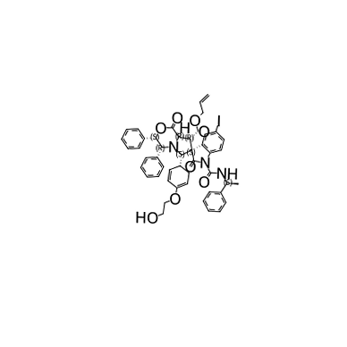 C=CCOC(=O)[C@H]1[C@@H]2C(=O)O[C@@H](c3ccccc3)[C@@H](c3ccccc3)N2[C@@H](C2C=CC(OCCO)=CC2)[C@]12C(=O)N(C(=O)N[C@@H](C)c1ccccc1)c1ccc(I)cc12